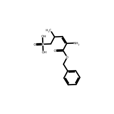 CC(/C=C(/N)C(=O)OCc1ccccc1)CP(=O)(O)O